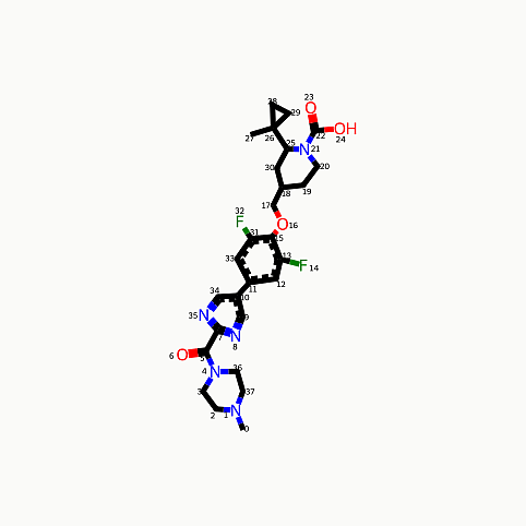 CN1CCN(C(=O)c2ncc(-c3cc(F)c(OCC4CCN(C(=O)O)C(C5(C)CC5)C4)c(F)c3)cn2)CC1